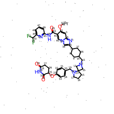 CC(C)Oc1cc2nc(C3CCC(CN4CC5(CCCN5Cc5ccc(OC6CCC(=O)NC6=O)cc5)C4)CC3)cn2cc1C(=O)Nc1cccc(C(F)F)n1